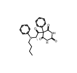 CCCCN(c1ccccc1)[C@@H](C)C(=O)C1(c2ccccc2)C(=O)NC(=O)NC1=O